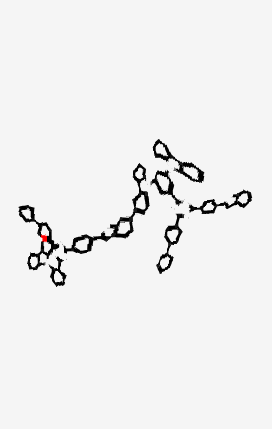 c1ccc(-c2ccc(-c3nc(-c4ccc(-c5cc6ccccc6s5)cc4)nc(-c4cc(-n5c6ccccc6c6ccccc65)cc(-n5c6ccccc6c6cc(-c7ccc8cc(-c9ccc(-c%10nc(-c%11ccc(-c%12ccccc%12)cc%11)nc(-c%11ccccc%11-n%11c%12ccccc%12c%12ccccc%12%11)n%10)cc9)sc8c7)ccc65)c4)n3)cc2)cc1